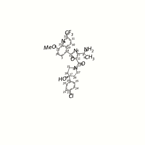 COc1ccc(-c2nc(C(C)N)c(C(=O)N3CCC(O)(c4ccc(Cl)cc4)CC3)o2)c2ccc(C(F)(F)F)nc12